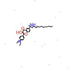 CCCCCCCCCCCCC(C)(N)c1ccc2oc(-c3ccc(N(CC)CC)cc3)c(O)c(=O)c2c1